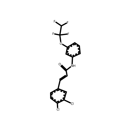 O=C(C=Cc1ccc(Cl)c(Cl)c1)Nc1cccc(OC(F)(F)C(F)F)c1